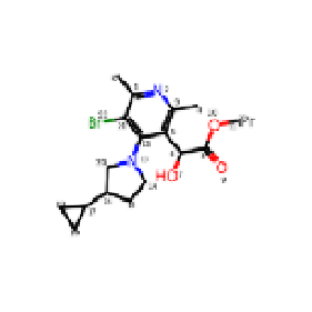 Cc1nc(C)c(C(O)C(=O)OC(C)C)c(N2CCC(C3CC3)C2)c1Br